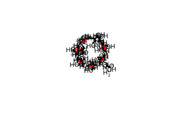 NC(CSCC1C[C@@H]2C[C@@H]3C(CO)O[C@H](O[C@@H]4C(CO)O[C@H](O[C@@H]5C(CSC[C@@H](N)C(=O)O)O[C@H](O[C@@H]6C(CO)O[C@H](O[C@@H]7C(CO)O[C@H](O[C@@H]8C(CO)O[C@H](O[C@H]1[C@H](O)C2O)C(O)[C@H]8O)C(O)[C@H]7O)C(O)[C@H]6O)C(O)[C@H]5O)C(O)[C@H]4O)C(O)[C@H]3O)C(=O)O